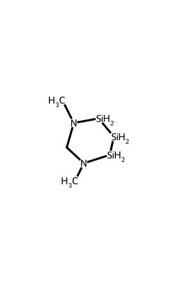 CN1CN(C)[SiH2][SiH2][SiH2]1